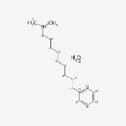 CN(C)CCCCCCCCCc1ccccc1.O